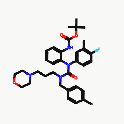 [CH]c1ccc(CN(CCCN2CCOCC2)C(=O)N(c2ccc(F)c(C)c2)c2ccccc2NC(=O)OC(C)(C)C)cc1